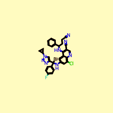 BC(Nc1cc(Cl)c2ncc(C#N)c(NC(CCC#N)c3ccccc3)c2c1)(c1ccc(F)cc1)c1cn(C2CC2)nn1